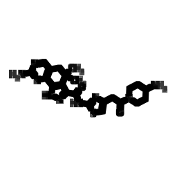 CC1(C)Cc2cnc(N)nc2-c2[nH]nc(C(=O)Nc3nc(CC(=O)N4CCC(N)CC4)cs3)c21